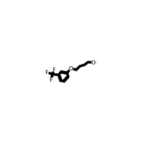 [O]CCCCOc1cccc(C(F)(F)F)c1